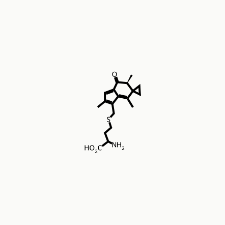 CC1=C(CSCCC(N)C(=O)O)C2=C(C)C3(CC3)[C@H](C)C(=O)C2=C1